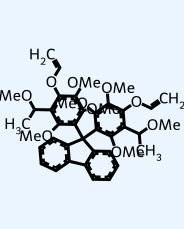 C=COc1c(OC)c(OC)c(C2(c3c(OC)c(OC)c(OC=C)c(C(C)OC)c3OC)c3ccccc3-c3ccccc32)c(OC)c1C(C)OC